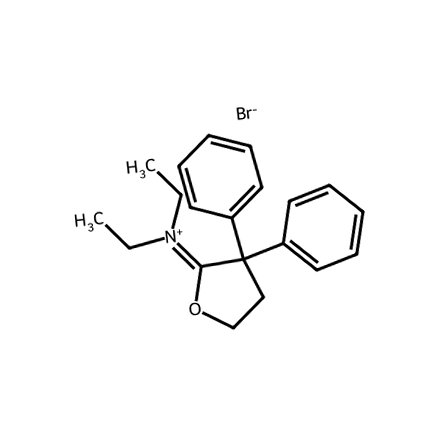 CC[N+](CC)=C1OCCC1(c1ccccc1)c1ccccc1.[Br-]